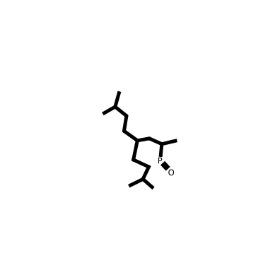 CC(C)CCC(CCC(C)C)CC(C)P=O